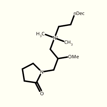 CCCCCCCCCCCC[N+](C)(C)CC(CN1CCCC1=O)OC